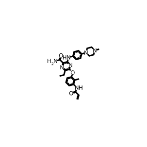 C=CC(=O)Nc1cccc(Oc2nc(Nc3ccc(N4CCN(C)CC4)cc3)c(C(N)=O)nc2CC)c1C